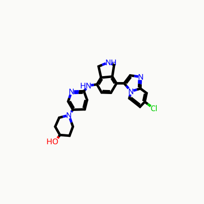 OC1CCN(c2ccc(Nc3ccc(-c4cnc5cc(Cl)ccn45)c4c3CNC4)nc2)CC1